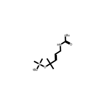 CCCCC(=O)NCC=CC(C)(C)O[Si](C)(C)C(C)(C)C